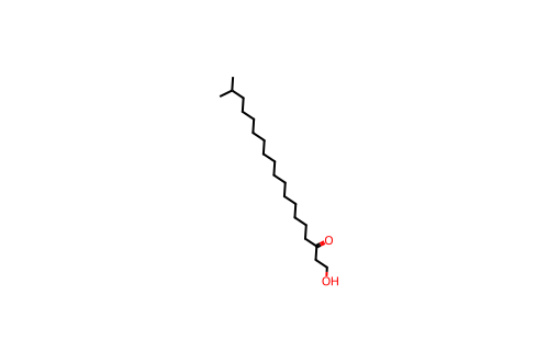 CC(C)CCCCCCCCCCCCCCC(=O)CCO